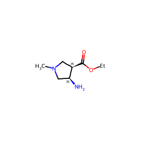 CCOC(=O)[C@@H]1CN(C)C[C@@H]1N